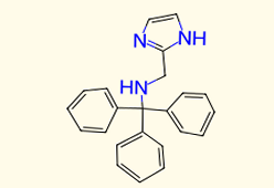 c1ccc(C(NCc2ncc[nH]2)(c2ccccc2)c2ccccc2)cc1